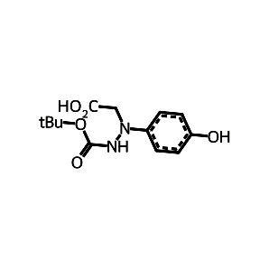 CC(C)(C)OC(=O)NN(CC(=O)O)c1ccc(O)cc1